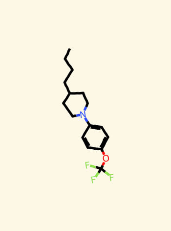 CCCCC1CCN(c2ccc(OC(F)(F)F)cc2)CC1